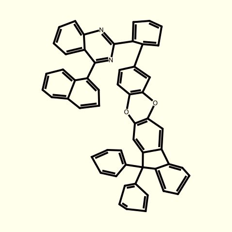 c1ccc(C2(c3ccccc3)c3ccccc3-c3cc4c(cc32)Oc2ccc(-c3ccccc3-c3nc(-c5cccc6ccccc56)c5ccccc5n3)cc2O4)cc1